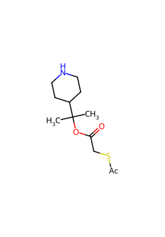 CC(=O)SCC(=O)OC(C)(C)C1CCNCC1